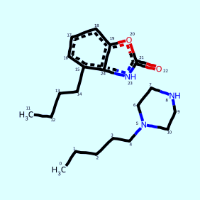 CCCCCN1CCNCC1.CCCCc1cccc2oc(=O)[nH]c12